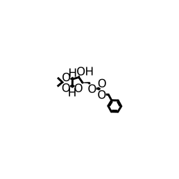 CC1(C)O[C@H]2O[C@H](COC(=O)OCc3ccccc3)[C@H](O)[C@H]2O1